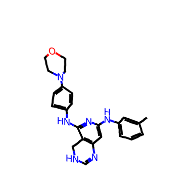 Cc1cccc(Nc2cc3c(c(Nc4ccc(N5CCOCC5)cc4)n2)CNC=N3)c1